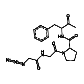 CC(=O)C(Cc1ccccc1)NC(=O)C1CCCN1C(=O)CNC(=O)CN=[N+]=[N-]